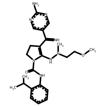 COCCN(C)NC1=C(C(=N)c2cnc(N)nc2)CCN1C(=O)Nc1ccccc1C(C)C